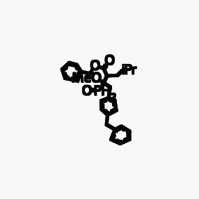 COC(Cc1ccc(Cc2ccccc2)cc1)([PH2]=O)C(CC(C)C)C(=O)OCc1ccccc1